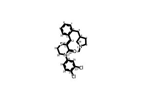 CN1CCC(Cc2ccccc2C=C2SCCN(c3ccc(Cl)c(Cl)c3)C2=O)C1